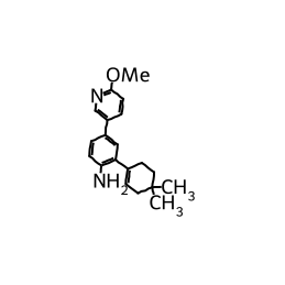 COc1ccc(-c2ccc(N)c(C3=CCC(C)(C)CC3)c2)cn1